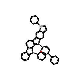 c1ccc(-c2ccc(-n3c4cc5ccn(-c6ccccc6)c5cc4c4ccc5c6ccccc6n(-c6ccccc6)c5c43)nc2)cc1